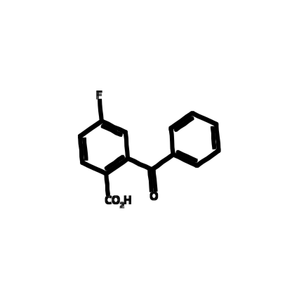 O=C(O)c1ccc(F)cc1C(=O)c1ccccc1